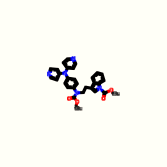 CC(C)(C)OC(=O)N(CCc1cn(C(=O)OC(C)(C)C)c2ccccc12)c1ccc(N(c2ccncc2)c2ccncc2)cc1